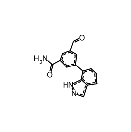 NC(=O)c1cc(C=O)cc(-c2cccc3cn[nH]c23)c1